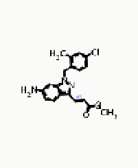 COC(=O)/C=C/c1nn(Cc2ccc(Cl)cc2C)c2cc(N)ccc12